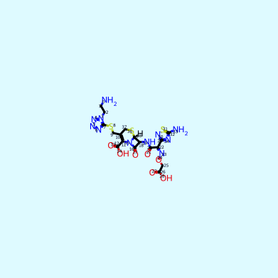 NCCn1nnnc1SCC1=C(C(=O)O)N2C(=O)C(NC(=O)/C(=N\OCC(=O)O)c3nsc(N)n3)[C@H]2SC1